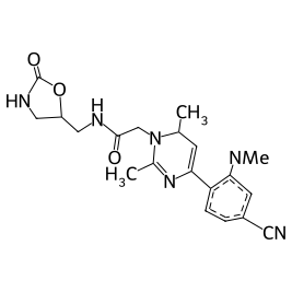 CNc1cc(C#N)ccc1C1=CC(C)N(CC(=O)NCC2CNC(=O)O2)C(C)=N1